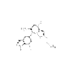 CCCc1nc2c(Cl)cc(C)c(-c3cc(Cl)c4[nH]ncc4c3)n2n1